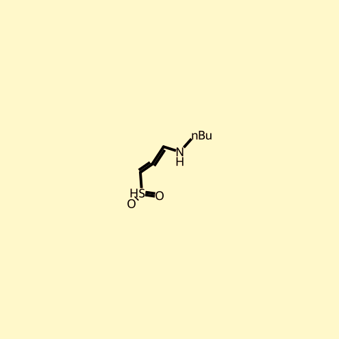 CCCCNC=C=C[SH](=O)=O